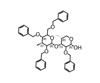 C[C@@H]1CO[C@@H](O)C(OCc2ccccc2)[C@H]1O[C@@H]1OC(COCc2ccccc2)[C@H](OCc2ccccc2)[C@H](C)C1OCc1ccccc1